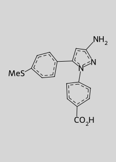 CSc1ccc(-c2cc(N)nn2-c2ccc(C(=O)O)cc2)cc1